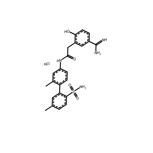 Cc1ccc(S(N)(=O)=O)c(-c2ccc(NC(=O)Cc3cc(C(=N)N)ccc3O)cc2C)c1.Cl